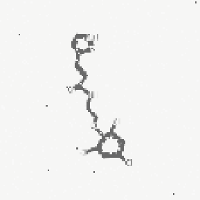 O=C(C=Cc1cc[nH]n1)NCCOc1c(Cl)cc(Cl)cc1Cl